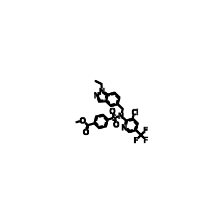 CCn1ncc2cc(CN(c3ncc(C(F)(F)F)cc3Cl)S(=O)(=O)c3ccc(C(=O)OC)cc3)ccc21